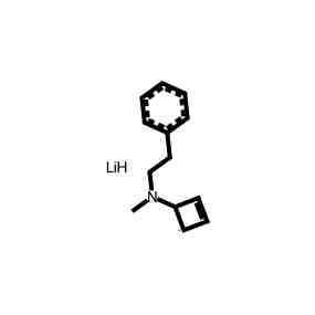 CN(CCc1ccccc1)C1[CH]C=C1.[LiH]